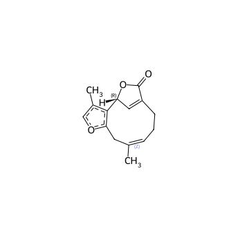 C/C1=C/CCC2=C[C@@H](OC2=O)c2c(C)coc2C1